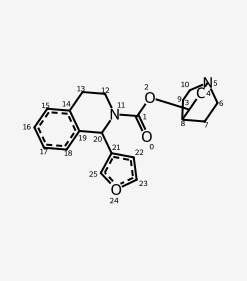 O=C(OC1CN2CCC1CC2)N1CCc2ccccc2C1c1ccoc1